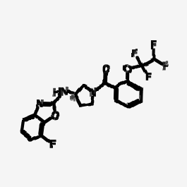 O=C(c1ccccc1OC(F)(F)C(F)F)N1CC[C@@H](Nc2nc3cccc(F)c3o2)C1